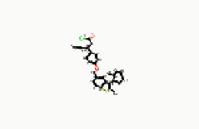 CC#C[C@@H](CC(=O)Cl)c1ccc(OCc2ccc3sc(C)c(-c4ccccc4C)c3c2)cc1